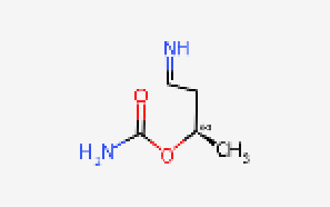 C[C@H](CC=N)OC(N)=O